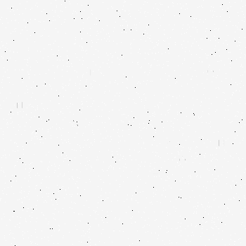 COc1cc(O)c2c(c1)C(=O)c1cc(CN(CCO)CCO)cc(O)c1C2=O